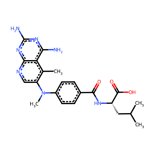 Cc1c(N(C)c2ccc(C(=O)N[C@@H](CC(C)C)C(=O)O)cc2)cnc2nc(N)nc(N)c12